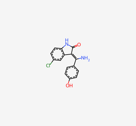 N/C(=C1\C(=O)Nc2ccc(Cl)cc21)c1ccc(O)cc1